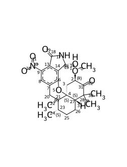 CO[C@@H]1C[C@@]23Oc4c(cc([N+](=O)[O-])c5c4[C@@H](O)NC5=O)C[C@]2(C)[C@@H](C)CC[C@H]3C(C)(C)C1=O